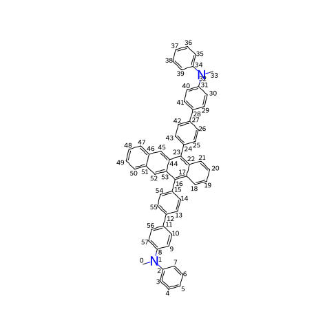 CN(C1=C=C=CC=C1)c1ccc(-c2ccc(-c3c4ccccc4c(-c4ccc(-c5ccc(N(C)c6ccccc6)cc5)cc4)c4cc5ccccc5cc34)cc2)cc1